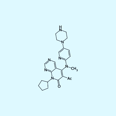 CC(=O)c1c(N(C)c2ccc(N3CCNCC3)cn2)c2cncnc2n(C2CCCC2)c1=O